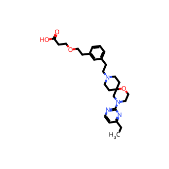 CCc1ccnc(N2CCOC3(CCN(CCc4cccc(CCOCCC(=O)O)c4)CC3)C2)n1